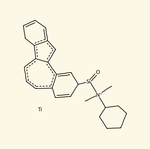 C[N+](C)(C1CCCCC1)[Si](=O)C1C=Cc2cccc3c4c(cc-3c2=C1)=CC=CC4.[Ti]